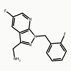 NCc1nn(Cc2ccccc2F)c2ncc(F)cc12